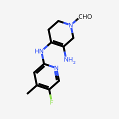 Cc1cc(NC2=C(N)CN(C=O)CC2)ncc1F